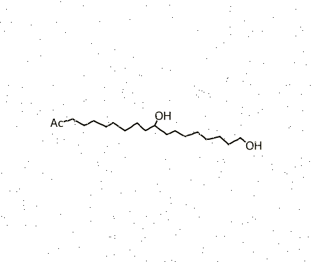 CC(=O)CCCCCCCCC(O)CCCCCCCCO